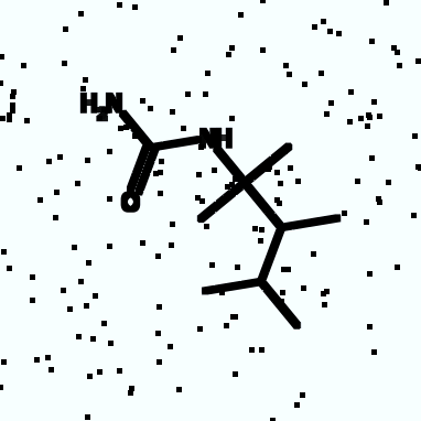 CC(C)C(C)C(C)(C)NC(N)=O